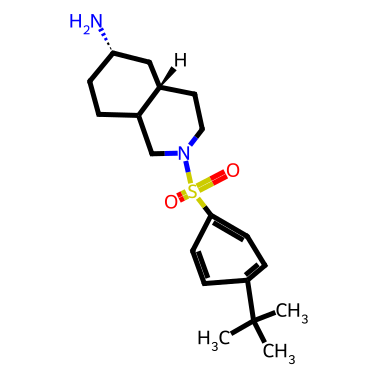 CC(C)(C)c1ccc(S(=O)(=O)N2CC[C@H]3C[C@@H](N)CCC3C2)cc1